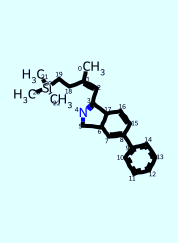 C/C(=C/C1=NCC2C=C(c3ccccc3)C=CC12)CC[Si](C)(C)C